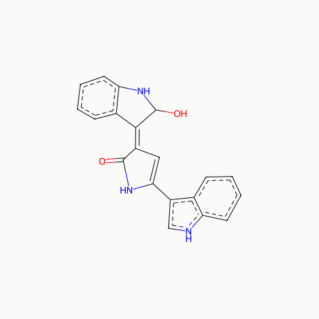 O=C1NC(c2c[nH]c3ccccc23)=C/C1=C1/c2ccccc2NC1O